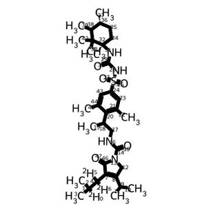 [2H]C(C)(C)C([2H])([2H])C1=C(C(C)C)CN(C(=O)NCC(C)c2c(C)cc(S(=O)(=O)NC(=O)N[C@]3(C)CC[C@@H](C)C(C)C3(C)C)cc2C)C1=O